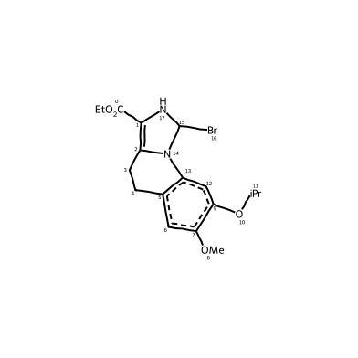 CCOC(=O)C1=C2CCc3cc(OC)c(OC(C)C)cc3N2C(Br)N1